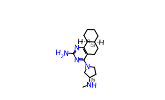 CN[C@@H]1CCN(c2nc(N)nc3c2CC[C@@H]2CCCC[C@H]32)C1